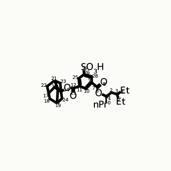 CCC[C@H](CC(CC)CC)OC(=O)c1cc(C(=O)OC23CC4CC(CC(C4)C2)C3)cc(S(=O)(=O)O)c1